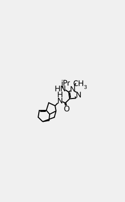 CC(C)Nc1c(C(=O)NC2CC3=CCC4CC3C2C4)cnn1C